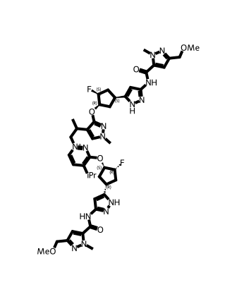 COCc1cc(C(=O)Nc2cc([C@@H]3C[C@H](F)[C@H](Oc4nn(C)cc4C(C)C[n+]4ccc(C(C)C)c(O[C@H]5C[C@@H](c6cc(NC(=O)c7cc(COC)nn7C)n[nH]6)C[C@H]5F)n4)C3)[nH]n2)n(C)n1